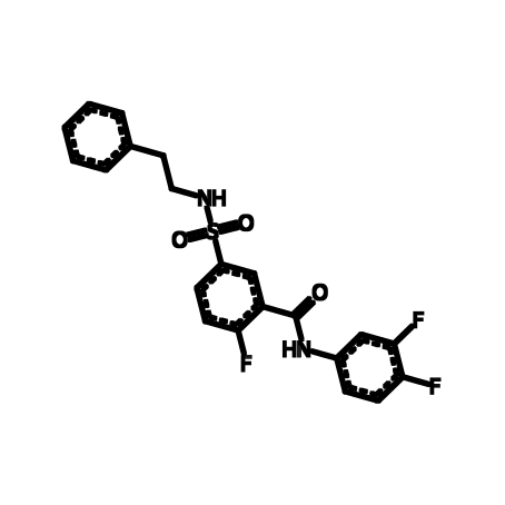 O=C(Nc1ccc(F)c(F)c1)c1cc(S(=O)(=O)NCCc2ccccc2)ccc1F